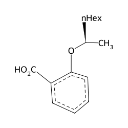 CCCCCC[C@@H](C)Oc1ccccc1C(=O)O